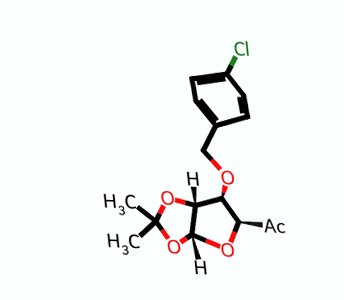 CC(=O)[C@H]1O[C@@H]2OC(C)(C)O[C@@H]2[C@H]1OCc1ccc(Cl)cc1